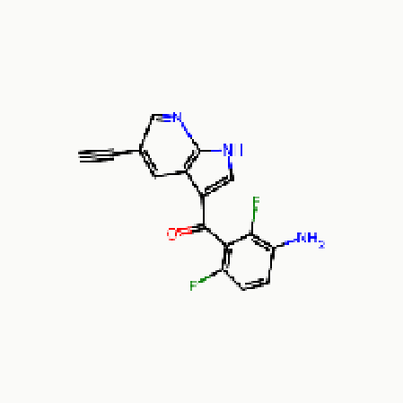 C#Cc1cnc2[nH]cc(C(=O)c3c(F)ccc(N)c3F)c2c1